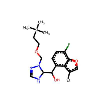 CCc1coc2c(F)ccc(C(O)C3NC=NN3COCC[Si](C)(C)C)c12